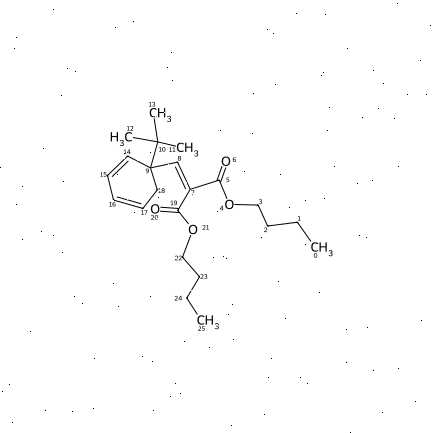 CCCCOC(=O)C(=CC1(C(C)(C)C)C=CC=CC1)C(=O)OCCCC